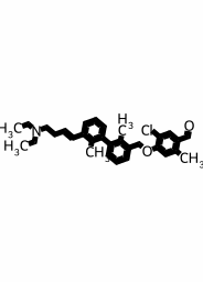 CCN(CC)CC/C=C/c1cccc(-c2cccc(COc3cc(C)c(C=O)cc3Cl)c2C)c1C